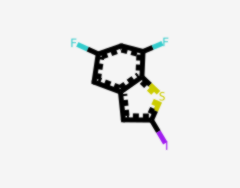 Fc1cc(F)c2sc(I)cc2c1